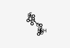 O=C(Cc1cccc(OCCCCN(Cc2cccc(C(F)(F)F)c2Cl)CC(c2ccccc2)c2ccccc2)c1)NS(=O)(=O)c1ccccc1